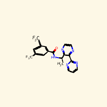 C[C@@H](NC(=O)c1cc(C(F)(F)F)cc(C(F)(F)F)c1)c1nccnc1-c1ncccn1